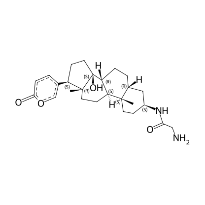 C[C@]12CC[C@H](NC(=O)CN)C[C@H]1CC[C@@H]1[C@@H]2CC[C@]2(C)[C@@H](c3ccc(=O)oc3)CC[C@]12O